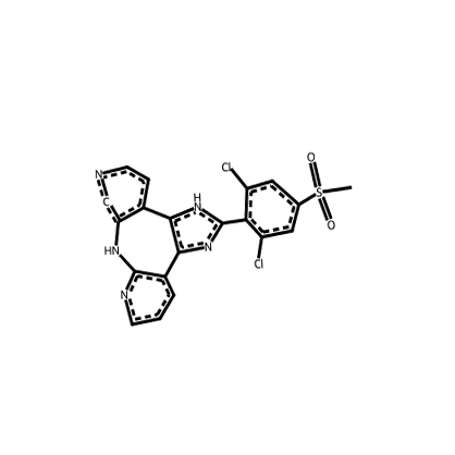 CS(=O)(=O)c1cc(Cl)c(-c2nc3c([nH]2)-c2ccncc2Nc2ncccc2-3)c(Cl)c1